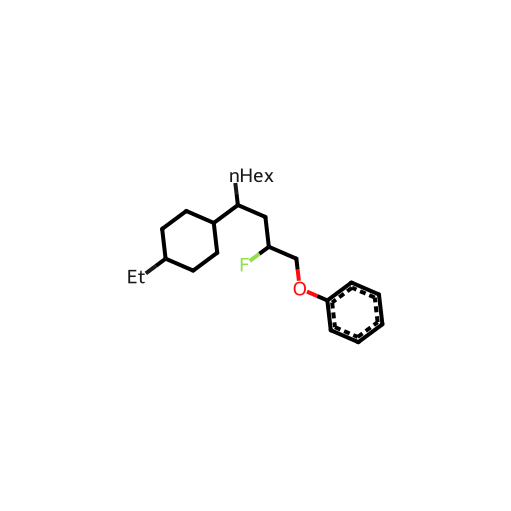 CCCCCCC(CC(F)COc1ccccc1)C1CCC(CC)CC1